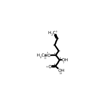 C=CCCC(O)C(O)C(=O)O.[CaH2]